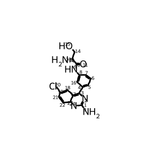 Nc1nc(-c2cccc(NC(=O)[C@H](N)CO)c2)c2cc(Cl)ccc2n1